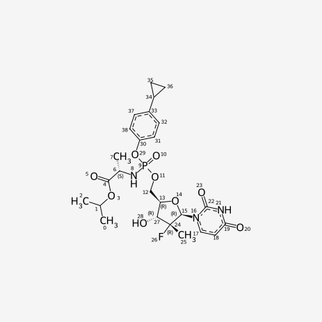 CC(C)OC(=O)[C@H](C)NP(=O)(OC[C@H]1O[C@@H](n2ccc(=O)[nH]c2=O)[C@](C)(F)[C@@H]1O)Oc1ccc(C2CC2)cc1